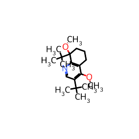 COc1c(C(C)(C)C)cnc2c1CCCC2(OC)C(C)(C)C